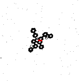 c1ccc(-c2ccc(N(c3cccc(-c4cccc5c4oc4ccccc45)c3)c3cccc(-c4cccc5c4oc4ccccc45)c3-c3cccc(-c4ccccc4)c3)cc2)cc1